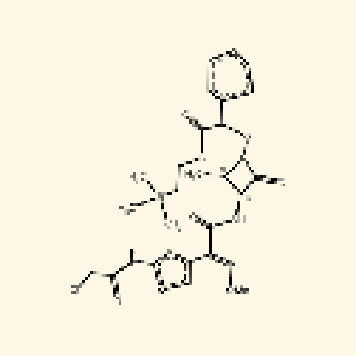 CON=C(C(=O)N[C@@H]1C(=O)N(OC(C(=O)OCC[Si](C)(C)C)c2ccccc2)[C@H]1C)c1csc(NC(=O)CCl)n1